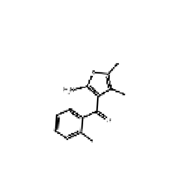 Cc1ccccc1C(=O)c1c(N)sc(C)c1C